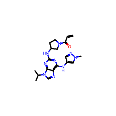 C=CC(=O)N1CCC(Nc2nc(Nc3cnn(C)c3)c3ncn(C(C)C)c3n2)C1